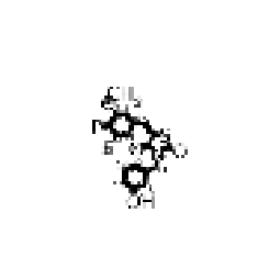 COc1cc(C=C2SC(=O)N(Cc3cccc(O)c3)C2=O)cc(F)c1F